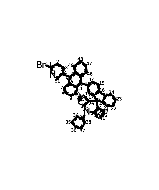 Brc1ccc(-c2c3ccccc3c(-c3ccc4c(c3)C3(c5ccccc5-4)c4ccccc4N(c4ccccc4)c4ccccc43)c3ccccc23)cn1